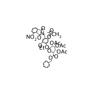 CCOc1cc([C@@H](CS(C)(=O)=O)N2C(=O)c3cccc([N+](=O)[O-])c3C2=O)ccc1O[C@@H]1O[C@H](C(=O)OCc2ccccc2)[C@@H](OC(C)=O)[C@H](OC(C)=O)[C@H]1OC(C)=O